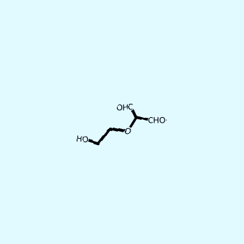 O=[C]C(C=O)OCCO